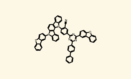 N#Cc1cc(-c2nc(-c3ccc(-c4ccccc4)cc3)nc(-c3ccc4oc5ccccc5c4c3)n2)ccc1-n1c2ccccc2c2ccc3c(c4ccccc4n3-c3ccc4sc5ccccc5c4c3)c21